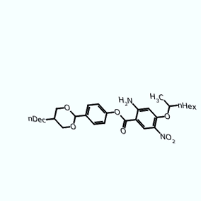 CCCCCCCCCCC1COC(c2ccc(OC(=O)c3cc([N+](=O)[O-])c(OC(C)CCCCCC)cc3N)cc2)OC1